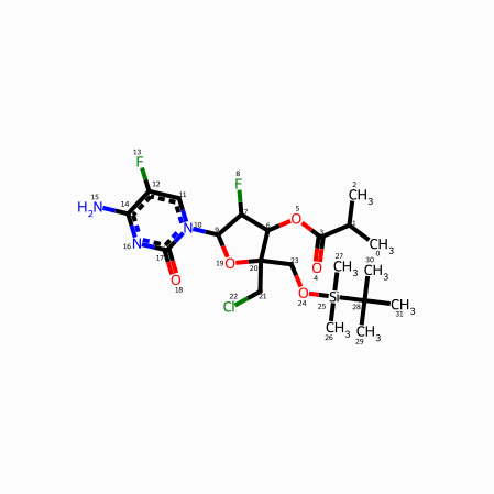 CC(C)C(=O)OC1C(F)C(n2cc(F)c(N)nc2=O)OC1(CCl)CO[Si](C)(C)C(C)(C)C